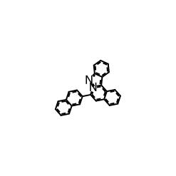 c1ccc2cc(-c3cc4ccccc4c4c5ccccc5nn34)ccc2c1